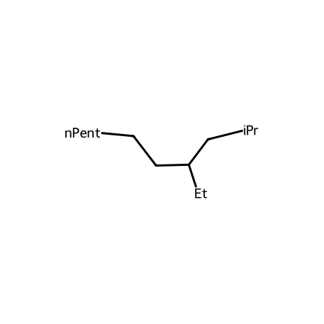 [CH2]CCCCCCC(C[CH2])CC(C)C